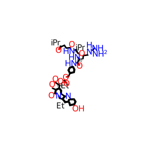 CCc1c2c(nc3ccc(O)cc13)-c1cc3c(c(=O)n1C2)COC(=O)[C@@]3(CC)OC(=O)OCc1ccc(NC(=O)[C@H](CCCNC(=N)N)NC(=O)[C@@H](NC(=O)CCC(=O)C(C)C)C(C)C)cc1